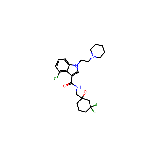 O=C(NCC1(O)CCCC(F)(F)C1)c1cn(CCN2CCCCC2)c2cccc(Cl)c12